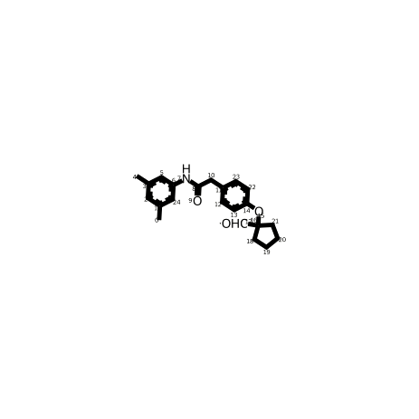 Cc1cc(C)cc(NC(=O)Cc2ccc(OC3([C]=O)CCCC3)cc2)c1